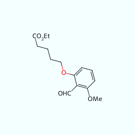 CCOC(=O)CCCCOc1cccc(OC)c1C=O